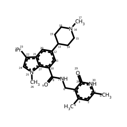 Cc1cc(C)c(CNC(=O)c2cc(C3CCN(C)CC3)cc3c(C(C)C)cn(C)c23)c(=O)[nH]1